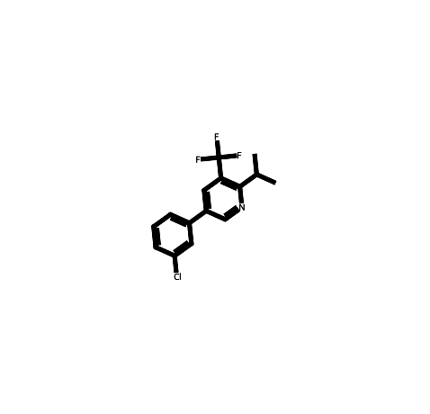 CC(C)c1ncc(-c2cccc(Cl)c2)cc1C(F)(F)F